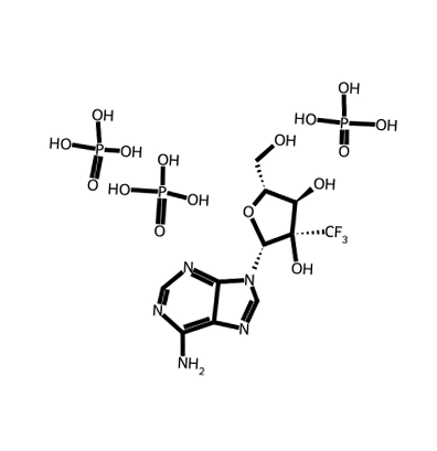 Nc1ncnc2c1ncn2[C@@H]1O[C@H](CO)[C@@H](O)[C@]1(O)C(F)(F)F.O=P(O)(O)O.O=P(O)(O)O.O=P(O)(O)O